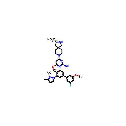 CCOc1cc(F)cc(-c2ccc([C@@H](Oc3cc(N4CCC5(CC4)CN[C@H](C(=O)O)C5)nc(N)n3)C(F)(F)F)c(-n3ccc(C)n3)c2)c1